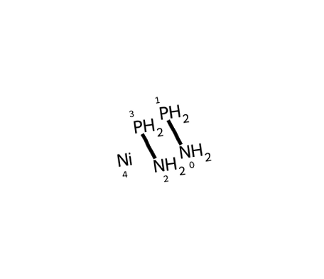 NP.NP.[Ni]